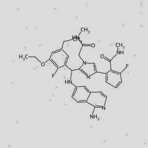 CCOc1cc(CC)cc(C(Nc2ccc3c(N)nccc3c2)c2nc(-c3cccc(F)c3C(=O)NC)cn2CC(=O)NC)c1F